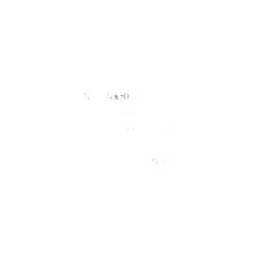 O.O.O=C([O-])O.O=C([O-])O.O=C([O-])O.[Na+].[Na+].[Na+]